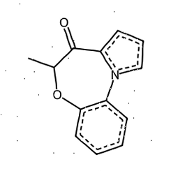 CC1Oc2ccccc2-n2cccc2C1=O